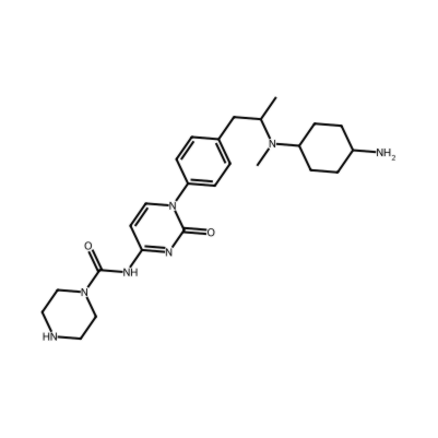 CC(Cc1ccc(-n2ccc(NC(=O)N3CCNCC3)nc2=O)cc1)N(C)C1CCC(N)CC1